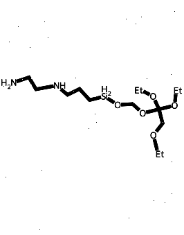 CCOCC(OCC)(OCC)OCO[SiH2]CCCNCCN